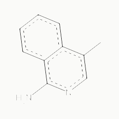 Nc1ncc(I)c2ccccc12